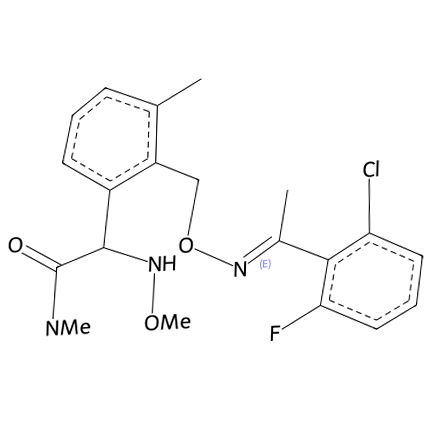 CNC(=O)C(NOC)c1cccc(C)c1CO/N=C(\C)c1c(F)cccc1Cl